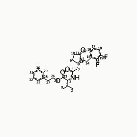 CC(C)[C@H](NC(=O)C[C@@H]1CCC(=O)N1Cc1cccc(F)c1F)C(=O)OCCc1ccccc1